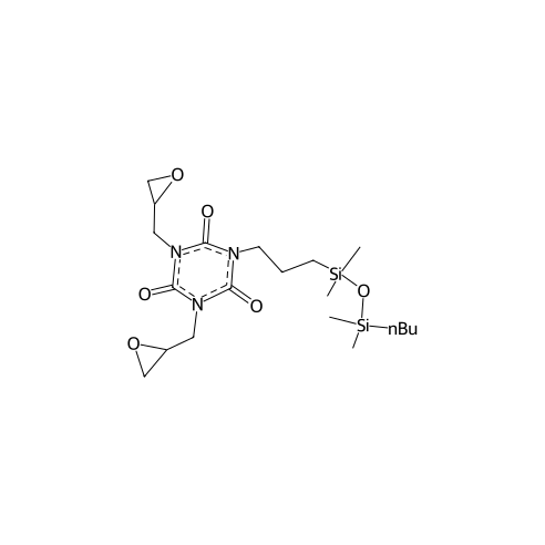 CCCC[Si](C)(C)O[Si](C)(C)CCCn1c(=O)n(CC2CO2)c(=O)n(CC2CO2)c1=O